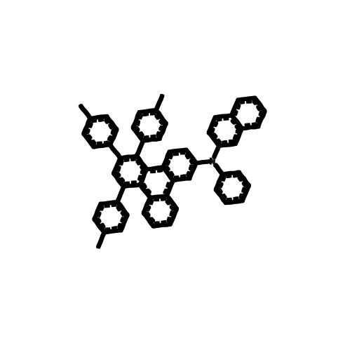 Cc1ccc(-c2cc(-c3ccc(C)cc3)c3c4ccccc4c4cc(N(c5ccccc5)c5ccc6ccccc6c5)ccc4c3c2-c2ccc(C)cc2)cc1